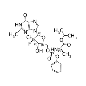 Cc1nc2c(ncn2[C@@H]2O[C@H](COP(=O)(N[C@H](C)C(=O)OC(C)C)Oc3ccccc3)[C@@H](O)[C@]2(F)Cl)c(=O)[nH]1